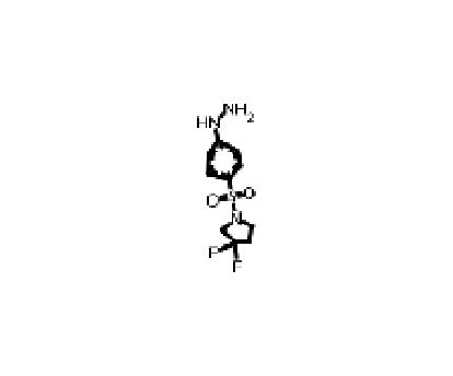 NNc1ccc(S(=O)(=O)N2CCC(F)(F)C2)cc1